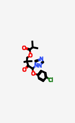 CC(C)C(=O)OCC(C)(C)C(=O)C(Oc1ccc(Cl)cc1)n1cncn1